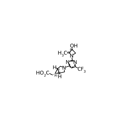 C[C@H]1[C@H](O)CN1c1nc(N2C[C@@H]3[C@H](CC(=O)O)[C@@H]3C2)cc(C(F)(F)F)n1